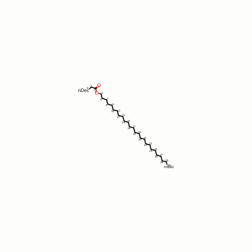 CCCCCCCCCCCC(=O)OCCCCCCCCCCCCCCCCCCCCCCCCCC(C)CC